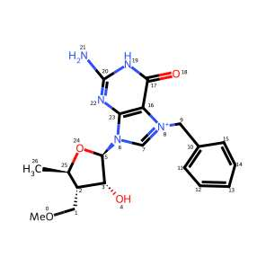 COC[C@H]1[C@@H](O)[C@H](n2c[n+](Cc3ccccc3)c3c(=O)[nH]c(N)nc32)O[C@@H]1C